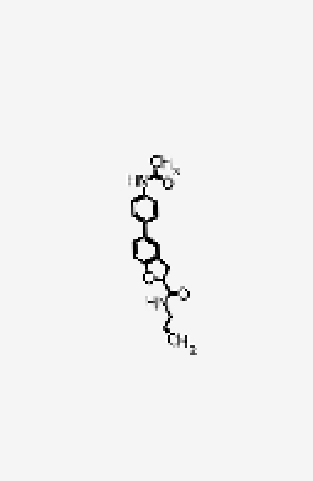 C=CCNC(=O)C1Cc2cc(-c3ccc(NC(C)=O)cc3)ccc2O1